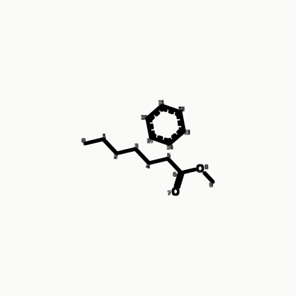 CCCCCCC(=O)OC.c1ccccc1